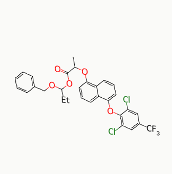 CCC(OCc1ccccc1)OC(=O)C(C)Oc1cccc2c(Oc3c(Cl)cc(C(F)(F)F)cc3Cl)cccc12